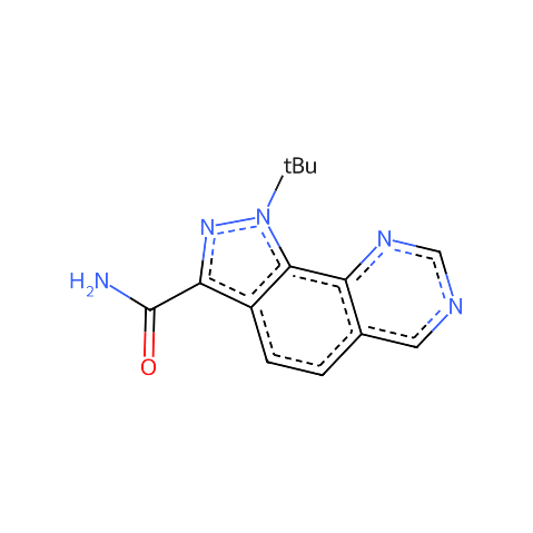 CC(C)(C)n1nc(C(N)=O)c2ccc3cncnc3c21